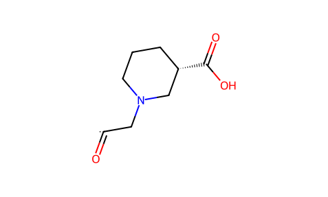 O=[C]CN1CCC[C@H](C(=O)O)C1